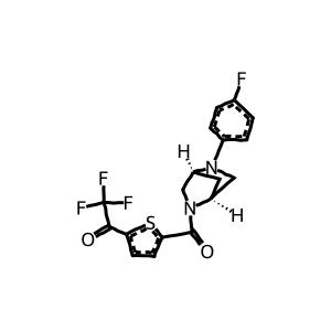 O=C(c1ccc(C(=O)C(F)(F)F)s1)N1C[C@@H]2C[C@H]1CN2c1ccc(F)cc1